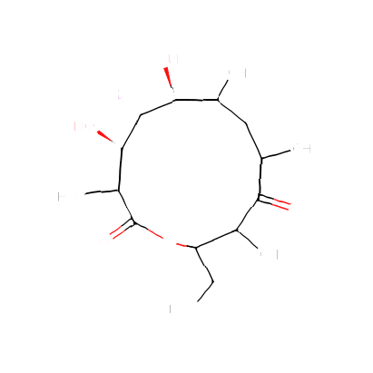 CCC1OC(=O)C(C)[C@@H](O)[C@H](I)[C@@H](O)C(C)CC(C)C(=O)C1C